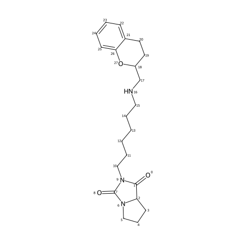 O=C1C2CCCN2C(=O)N1CCCCCCNCC1CCc2ccccc2O1